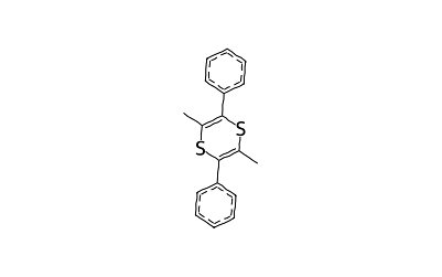 CC1=C(c2ccccc2)SC(C)=C(c2ccccc2)S1